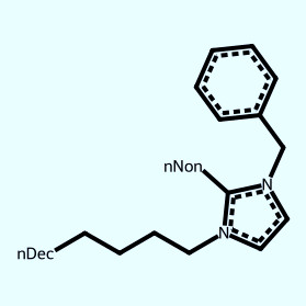 CCCCCCCCCCCCCC[n+]1ccn(Cc2ccccc2)c1CCCCCCCCC